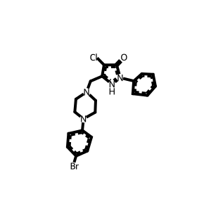 O=c1c(Cl)c(CN2CCN(c3ccc(Br)cc3)CC2)[nH]n1-c1ccccc1